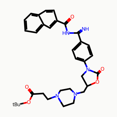 CC(C)(C)OC(=O)CCN1CCN(CC2CN(c3ccc(C(=N)NC(=O)c4ccc5ccccc5c4)cc3)C(=O)O2)CC1